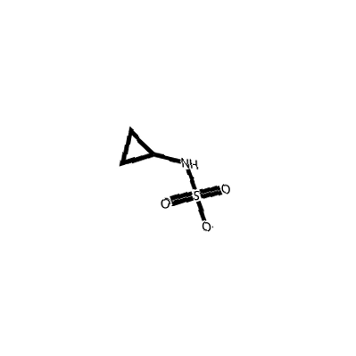 [O]S(=O)(=O)NC1CC1